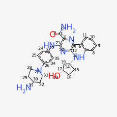 NC(=O)c1nc(-c2ccccc2)c(N[C@@H]2CC[C@H](O)C2)nc1Nc1ccc(N2CCC(N)CC2)cc1